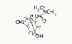 C=C(C)C(=O)OC12CC3CC(O)(CC(C1)C3=O)C2